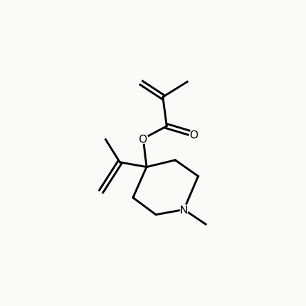 C=C(C)C(=O)OC1(C(=C)C)CCN(C)CC1